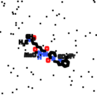 COC(=O)NC(CCC=CC(=O)N(C)C)C(=O)Nc1cccn(Cc2cc3cccc(CC(C)C)c3n2C(=O)O)c1=O